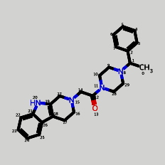 CC(c1ccccc1)N1CCN(C(=O)CN2CCc3c([nH]c4ccccc34)C2)CC1